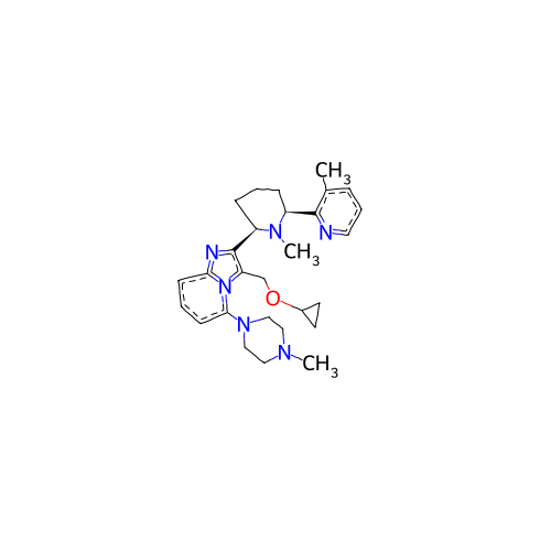 Cc1cccnc1[C@@H]1CCC[C@H](c2nc3cccc(N4CCN(C)CC4)n3c2COC2CC2)N1C